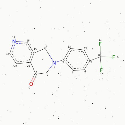 O=C1CN(c2ccc(C(F)(F)F)cc2)Cc2cnccc21